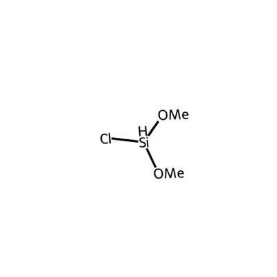 CO[SiH](Cl)OC